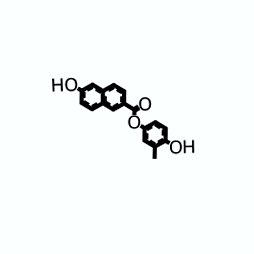 Cc1cc(OC(=O)c2ccc3cc(O)ccc3c2)ccc1O